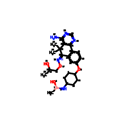 CB(O)NC1CCC(Oc2ccc3c(c2)/C(=N\OC[C@@H](C)O)C(C)(C)c2c(N)ncnc2-3)CC1